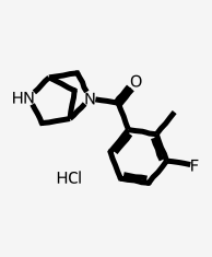 Cc1c(F)cccc1C(=O)N1CC2CC1CN2.Cl